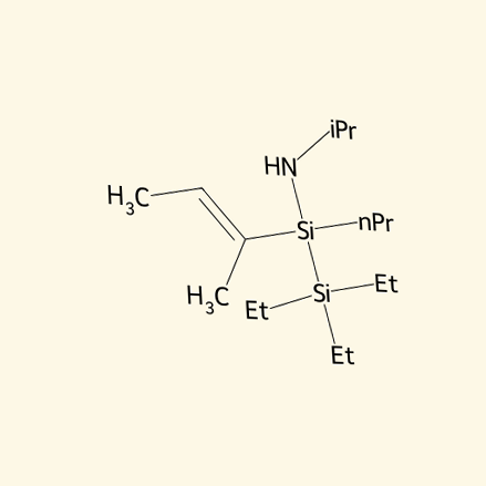 C/C=C(\C)[Si](CCC)(NC(C)C)[Si](CC)(CC)CC